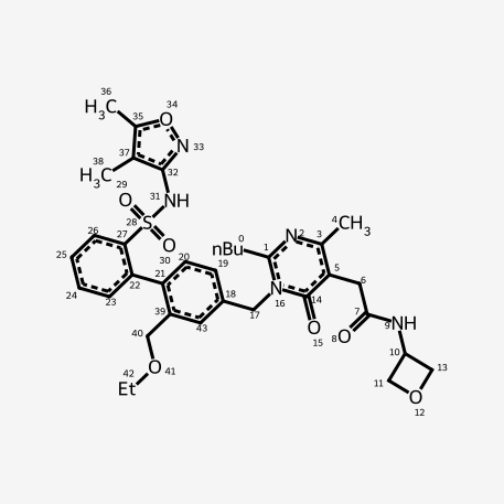 CCCCc1nc(C)c(CC(=O)NC2COC2)c(=O)n1Cc1ccc(-c2ccccc2S(=O)(=O)Nc2noc(C)c2C)c(COCC)c1